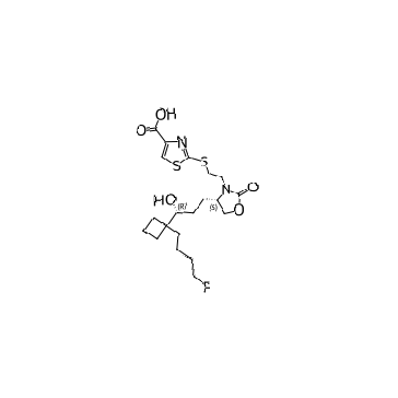 O=C(O)c1csc(SCCN2C(=O)OC[C@@H]2CC[C@@H](O)C2(CCCCF)CCC2)n1